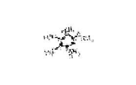 COc1ccc(C)c(C)c1C.N